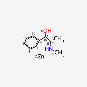 CN[C@@H](C)[C@H](O)c1ccccc1.[Zn]